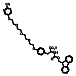 N#Cc1ccc(OCCOCCOCCOCCOc2ccc(CC(NC(=O)OCC3c4ccccc4-c4ccccc43)C(=O)O)cc2)cn1